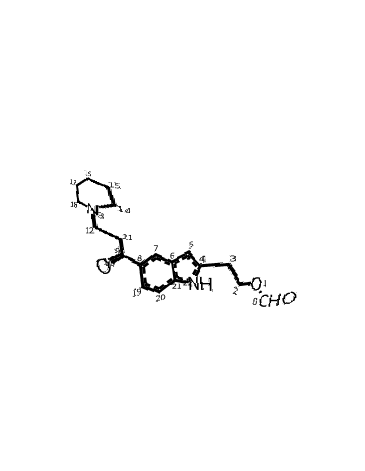 O=COCCc1cc2cc(C(=O)CCN3CCCCC3)ccc2[nH]1